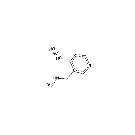 CNCc1cccnc1.Cl.Cl.Cl